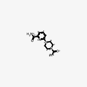 CC(C)C(=O)N1CCN(c2cc[c]c(C(N)=O)n2)CC1